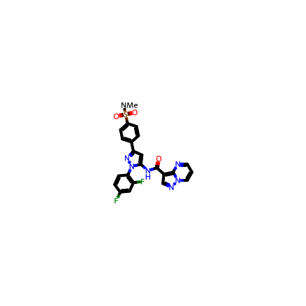 CNS(=O)(=O)c1ccc(-c2cc(NC(=O)c3cnn4cccnc34)n(-c3ccc(F)cc3F)n2)cc1